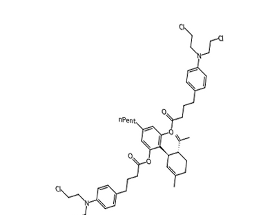 C=C(C)[C@@H]1CCC(C)=C[C@H]1c1c(OC(=O)CCCc2ccc(N(CCCl)CCCl)cc2)cc(CCCCC)cc1OC(=O)CCCc1ccc(N(CCCl)CCCl)cc1